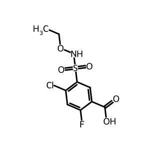 CCONS(=O)(=O)c1cc(C(=O)O)c(F)cc1Cl